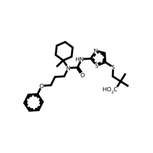 CC(C)(CSc1cnc(NC(=O)N(CCCOc2ccccc2)C2(C)CCCCC2)s1)C(=O)O